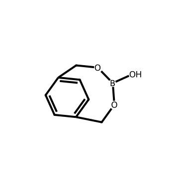 OB1OCc2ccc(cc2)CO1